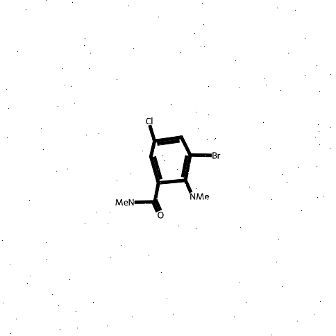 CNC(=O)c1cc(Cl)cc(Br)c1NC